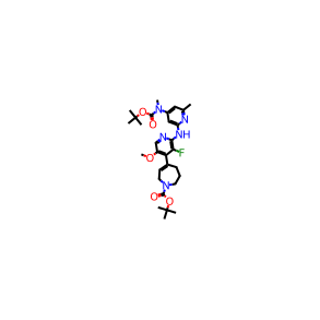 COc1cnc(Nc2cc(N(C)C(=O)OC(C)(C)C)cc(C)n2)c(F)c1C1=CCN(C(=O)OC(C)(C)C)CCC1